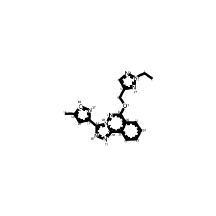 CCn1ncc(COc2nn3c(-c4cc(C)on4)nnc3c3ccccc23)n1